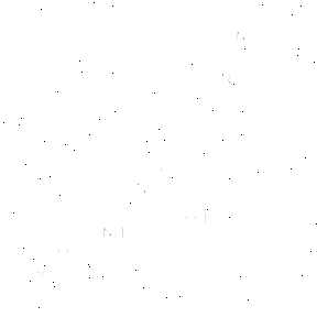 CCOC(=O)CN(c1c(C)cccc1NC(=O)OC(C)(C)C)S(=O)(=O)c1ccc(-n2cnc(C)c2)cc1C